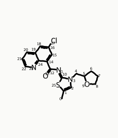 Cc1cn(CC2CCCO2)/c(=N/C(=O)c2cc(Cl)cc3cccnc23)s1